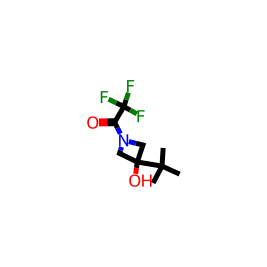 CC(C)(C)C1(O)CN(C(=O)C(F)(F)F)C1